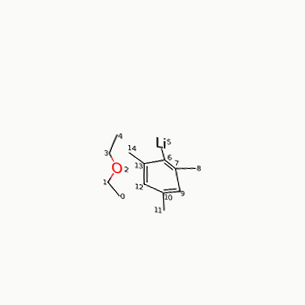 CCOCC.[Li][c]1c(C)cc(C)cc1C